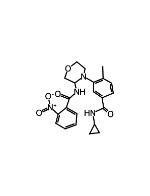 Cc1ccc(C(=O)NC2CC2)cc1N1CCOCC1NC(=O)c1ccccc1[N+](=O)[O-]